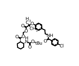 CC(C)(C)OC(=O)N[C@@H]1CCCC[C@H]1C(=O)OCOC(=O)C(C)(C)Oc1ccc(CCNC(=O)c2ccc(Cl)cc2)cc1